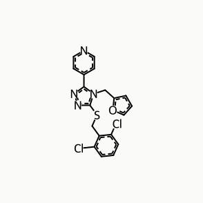 Clc1cccc(Cl)c1CSc1nnc(-c2ccncc2)n1Cc1ccco1